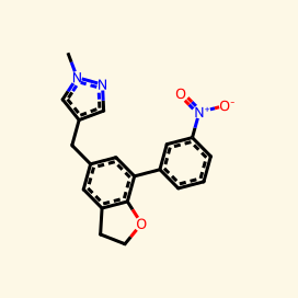 Cn1cc(Cc2cc3c(c(-c4cccc([N+](=O)[O-])c4)c2)OCC3)cn1